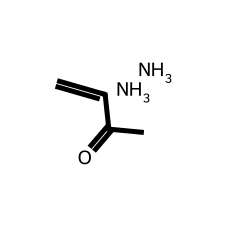 C=CC(C)=O.N.N